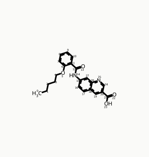 CCCCCOc1ccccc1C(=O)Nc1ccc2cc(C(=O)O)cnc2c1